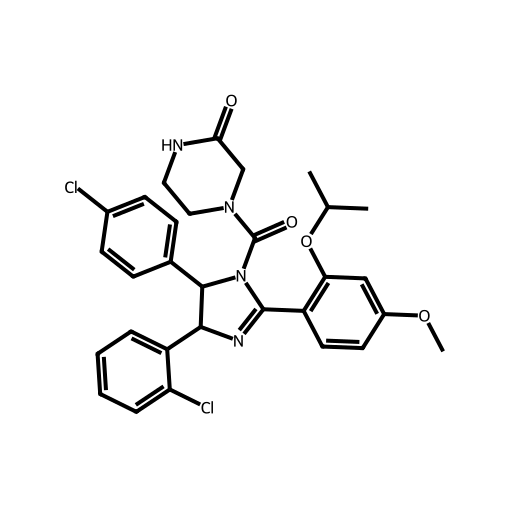 COc1ccc(C2=NC(c3ccccc3Cl)C(c3ccc(Cl)cc3)N2C(=O)N2CCNC(=O)C2)c(OC(C)C)c1